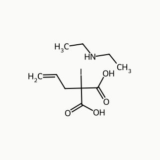 C=CCC(I)(C(=O)O)C(=O)O.CCNCC